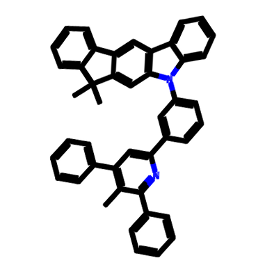 Cc1c(-c2ccccc2)cc(-c2cccc(-n3c4ccccc4c4cc5c(cc43)C(C)(C)c3ccccc3-5)c2)nc1-c1ccccc1